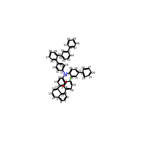 Fc1ccc(-c2cccc3cccc(-c4ccc(N(c5ccc(-c6ccccc6)cc5)c5ccc(-c6ccccc6-c6cccc(-c7ccccc7)c6)cc5)cc4)c23)cc1